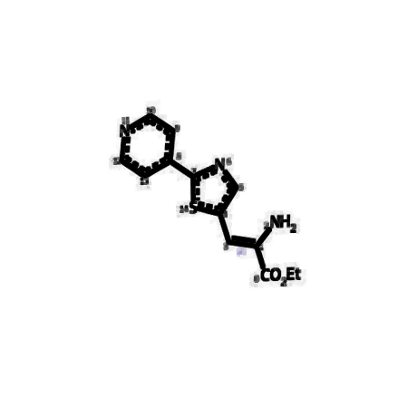 CCOC(=O)/C(N)=C/c1cnc(-c2ccncc2)s1